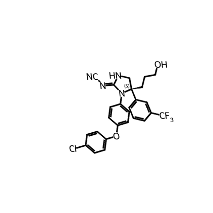 N#CN=C1NC[C@](CCCO)(c2cccc(C(F)(F)F)c2)N1c1ccc(Oc2ccc(Cl)cc2)cc1